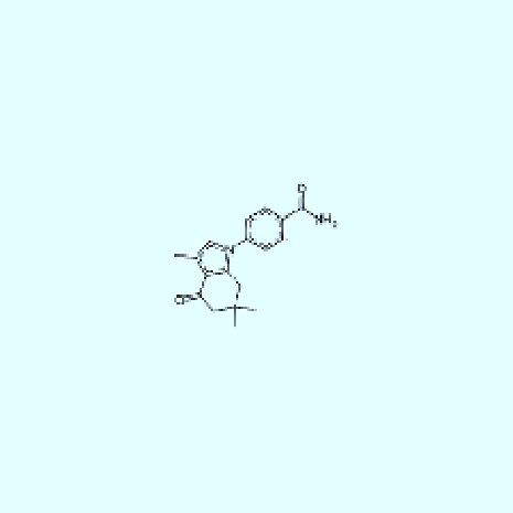 Cc1cn(-c2c[c]c(C(N)=O)cc2)c2c1C(=O)CC(C)(C)C2